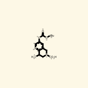 CC1CN(C(=O)O)Cc2cc(OC(=O)OC(C)(C)C)cnc21